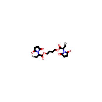 CC(C)CC(C(=O)OCCCCOC(=O)C(CC(C)C)N1C(=O)C=CC1=O)N1C(=O)C=CC1=O